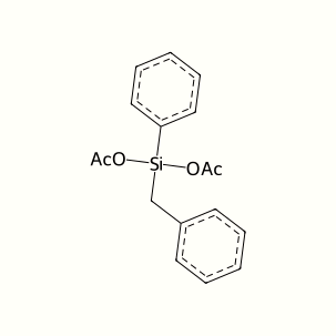 CC(=O)O[Si](Cc1ccccc1)(OC(C)=O)c1ccccc1